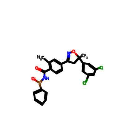 Cc1cc(C2=NOC(c3cc(Cl)cc(Cl)c3)(C(F)(F)F)C2)ccc1C(=O)N[S+]([O-])c1ccccc1